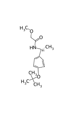 COCC(=O)N[C@H](C)c1ccc(OC(C)(C)C)cc1